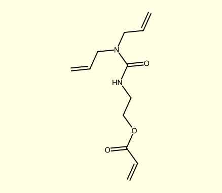 C=CCN(CC=C)C(=O)NCCOC(=O)C=C